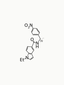 CCn1ccc2cc(C(=O)N[C@@H](C)c3ccc([N+](=O)[O-])cc3)ccc21